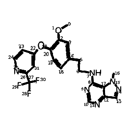 COc1cc(CCNc2ncnc3cnn(C)c23)ccc1Oc1ccnc(C(F)(F)F)c1